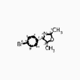 CC1=N[C@@H](c2ccc(Br)cc2)[C@@H](C)O1